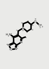 Cc1nc2nonc2c(N)c1CN1CCC(OC(F)(F)F)CC1